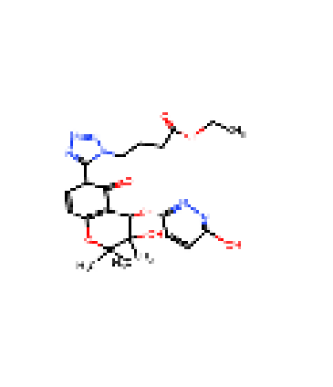 CCOC(=O)CCCn1nnnc1C1C=CC2=C(C1=O)C(Oc1ccc(O)nn1)C(C)(O)C(C)(C)O2